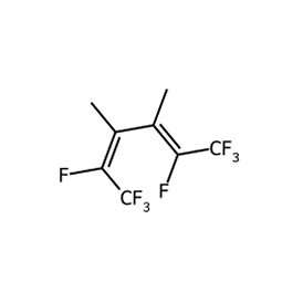 CC(C(C)=C(F)C(F)(F)F)=C(F)C(F)(F)F